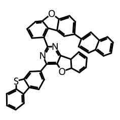 C1=CC2Oc3c(-c4ccc5c(c4)sc4ccccc45)nc(-c4cccc5oc6ccc(-c7ccc8ccccc8c7)cc6c45)nc3C2C=C1